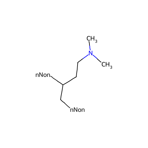 CCCCCCCCCCC(CCCCCCCCC)CCN(C)C